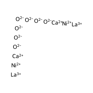 [Ca+2].[Ca+2].[La+3].[La+3].[Ni+2].[Ni+2].[O-2].[O-2].[O-2].[O-2].[O-2].[O-2].[O-2]